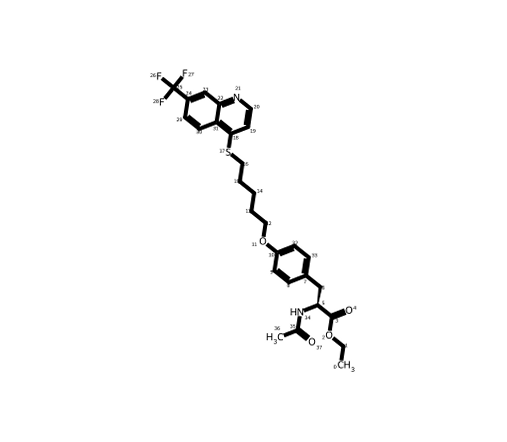 CCOC(=O)[C@H](Cc1ccc(OCCCCCSc2ccnc3cc(C(F)(F)F)ccc23)cc1)NC(C)=O